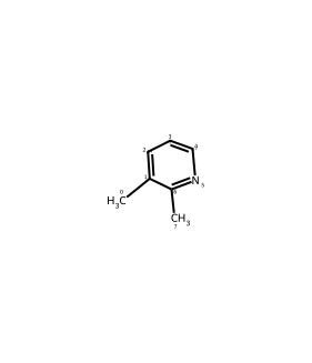 Cc1[c][c][c]nc1C